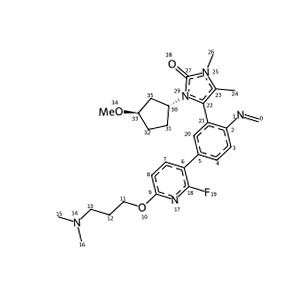 C=Nc1ccc(-c2ccc(OCCCN(C)C)nc2F)cc1-c1c(C)n(C)c(=O)n1[C@@H]1CC[C@@H](OC)C1